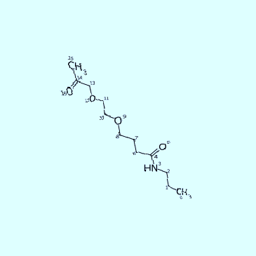 CCCNC(=O)CCCOCCOCC(C)=O